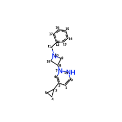 C1=CC(C2CC2)=CN(C2CN(Cc3ccccc3)C2)N1